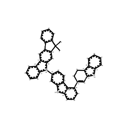 CC1(C)c2ccccc2-c2cc3c4ccccc4n(-c4ccc5c(c4)oc4cccc(C6=Cc7oc8ccccc8c7CC6)c45)c3cc21